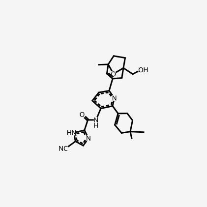 CC1(C)CC=C(c2nc(C3=CC4(C)CCC(CO)(C3)O4)ccc2NC(=O)c2ncc(C#N)[nH]2)CC1